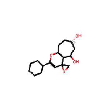 OC1C[C@@H](O)CCC2OC(C3CCCCC3)=CC3(CO3)C12